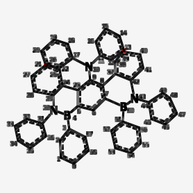 c1ccc(B2c3cc4c(c(N(c5ccccc5)c5ccccc5)c3-c3ccccc3N2c2ccccc2)-c2ccccc2N(c2ccccc2)B4c2ccccc2)cc1